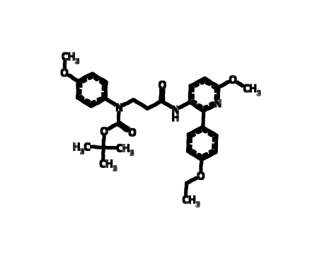 CCOc1ccc(-c2nc(OC)ccc2NC(=O)CCN(C(=O)OC(C)(C)C)c2ccc(OC)cc2)cc1